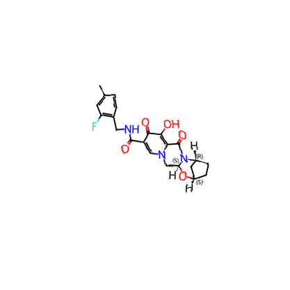 Cc1ccc(CNC(=O)c2cn3c(c(O)c2=O)C(=O)N2[C@@H]4CC[C@@H](C4)O[C@H]2C3)c(F)c1